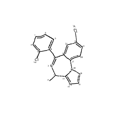 CC1N=C(c2ccccc2Cl)c2cc(Cl)ccc2-n2ccnc21